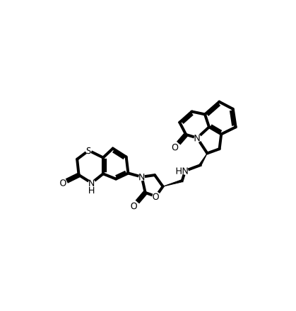 O=C1CSc2ccc(N3C[C@@H](CNC[C@@H]4Cc5cccc6ccc(=O)n4c56)OC3=O)cc2N1